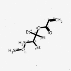 C=CC(=O)OC(CC)(CC)C(CC)[SiH2]O[SiH3]